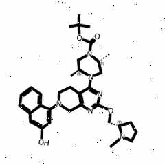 C[C@@H]1CN(c2nc(OC[C@@H]3CCCN3C)nc3c2CCN(c2cc(O)cc4ccccc24)C3)[C@@H](C)CN1C(=O)OC(C)(C)C